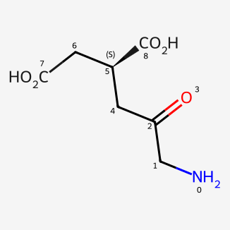 NCC(=O)C[C@@H](CC(=O)O)C(=O)O